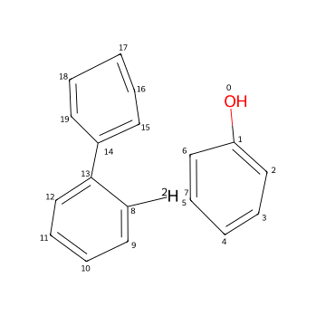 Oc1ccccc1.[2H]c1ccccc1-c1ccccc1